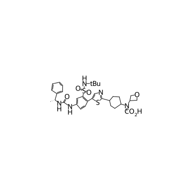 C[C@@H](NC(=O)Nc1ccc(-c2cnc(C3CCC(N(C(=O)O)C4COC4)CC3)s2)c(S(=O)(=O)NC(C)(C)C)c1)c1ccccc1